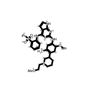 COCCN1CCCC(C2=C(C)C=C(Nc3nc(Nc4ccccc4S(=O)(=O)C(C)C)c4cc[nH]c4n3)C(OC(C)C)C2)C1